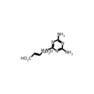 Nc1nc(N)nc(N)n1.O=C(O)/C=C/C(=O)O